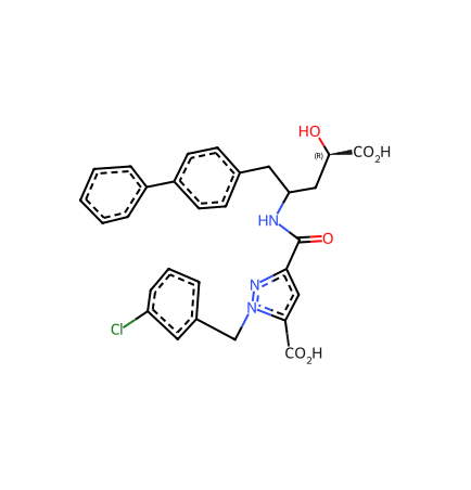 O=C(NC(Cc1ccc(-c2ccccc2)cc1)C[C@@H](O)C(=O)O)c1cc(C(=O)O)n(Cc2cccc(Cl)c2)n1